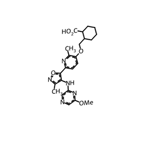 COc1cncc(Nc2c(C)noc2-c2ccc(OCC3CCCCC3C(=O)O)c(C)n2)n1